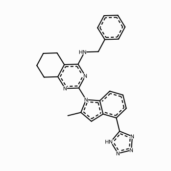 Cc1cc2c(-c3nnn[nH]3)cccc2n1-c1nc2c(c(NCc3ccccc3)n1)CCCC2